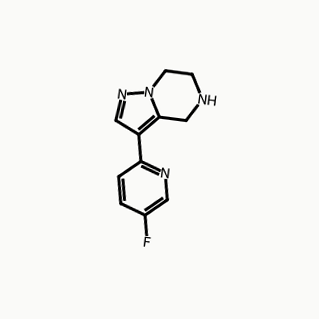 Fc1ccc(-c2cnn3c2CNCC3)nc1